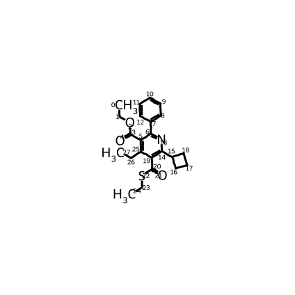 CCOC(=O)c1c(-c2ccccc2)nc(C2CCC2)c(C(=O)SCC)c1CC